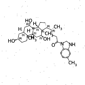 Cc1ccc2c(c1)NCN2C(=O)CC[C@@H](C)[C@H]1CC[C@H]2[C@@H]3[C@H](O)C[C@@H]4C[C@H](O)CC[C@]4(C)[C@H]3C[C@H](O)[C@]12C